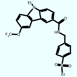 CCn1c2ccc(OC(F)(F)F)cc2c2cc(C(=O)NCc3ccc(S(=O)(=O)CC)cc3)ccc21